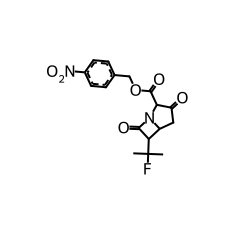 CC(C)(F)C1C(=O)N2C(C(=O)OCc3ccc([N+](=O)[O-])cc3)C(=O)CC12